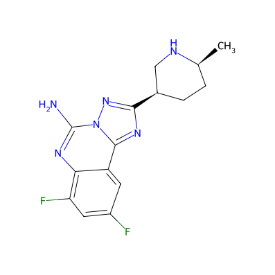 C[C@H]1CC[C@@H](c2nc3c4cc(F)cc(F)c4nc(N)n3n2)CN1